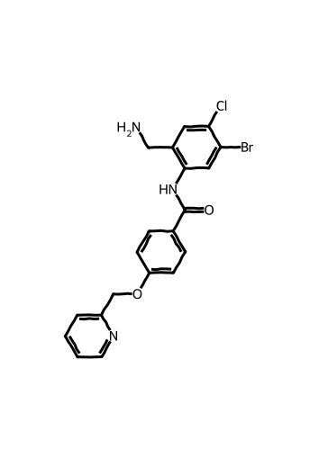 NCc1cc(Cl)c(Br)cc1NC(=O)c1ccc(OCc2ccccn2)cc1